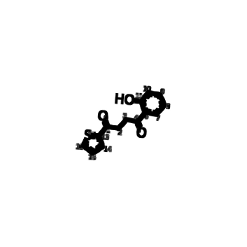 O=C(CCC(=O)c1ccccc1O)c1cccs1